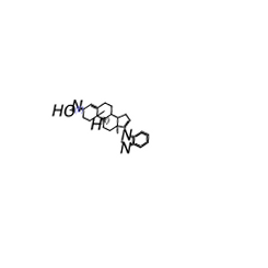 CC12CC[C@@H]3C(CCC4=C/C(=N/O)CCC43C)C1CC=C2n1cnc2ccccc21